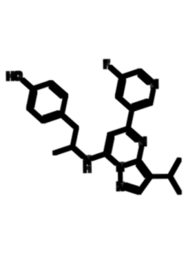 CC(Cc1ccc(O)cc1)Nc1cc(-c2cncc(F)c2)nc2c(C(C)C)cnn12